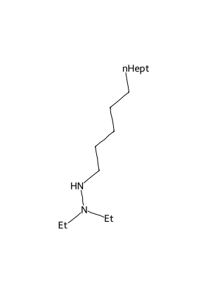 CCCCCCCCCCCCNN(CC)CC